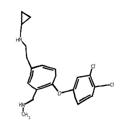 CNCc1cc(CCNC2CC2)ccc1Oc1ccc(Cl)c(Cl)c1